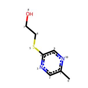 Cc1cnc(SCCO)cn1